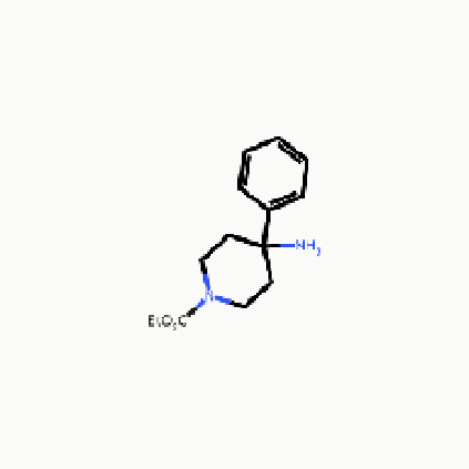 CCOC(=O)N1CCC(N)(c2ccccc2)CC1